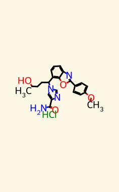 COc1ccc(-c2nc3cccc(C(CC[C@H](C)O)n4cnc(C(N)=O)c4)c3o2)cc1.Cl